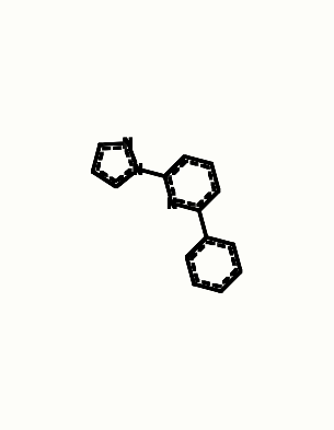 c1ccc(-c2cccc(-n3cccn3)n2)cc1